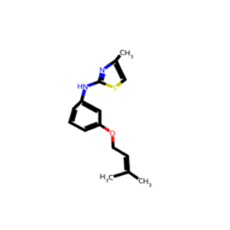 CC(C)=CCOc1cccc(Nc2nc(C)cs2)c1